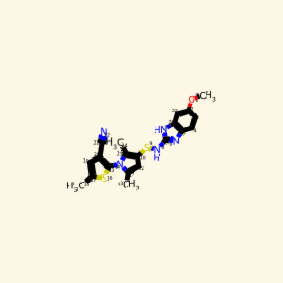 COc1ccc2nc(NSc3cc(C)n(-c4sc(C)cc4C#N)c3C)[nH]c2c1